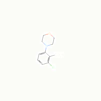 O=C(O)c1c(Cl)cccc1N1CCOCC1